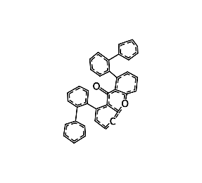 O=c1c2c(-c3ccccc3-c3ccccc3)cccc2oc2cccc(-c3ccccc3-c3ccccc3)c12